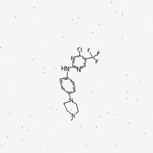 CN1CCN(c2ccc(Nc3ncc(C(F)(F)F)c(Cl)n3)cc2)CC1